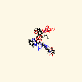 COc1cc(OP(=O)(O)O)cc(OC)c1COc1nc2ccccc2nc1C(=O)NCCNCCCN1C(=O)C=CC1=O